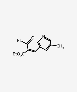 CCOC(=O)/C(=C/c1cncc(C)c1)C(=O)CC